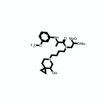 COC(CN(CCCCN1CCC2(CC2)C(O)C1)C(=O)C(C)Nc1cccc(OC(F)(F)F)c1)OC